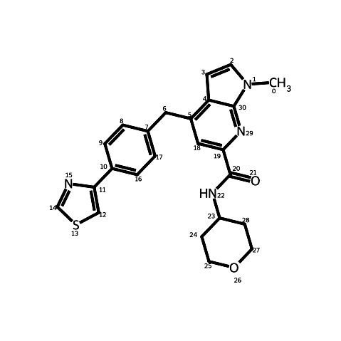 Cn1ccc2c(Cc3ccc(-c4cscn4)cc3)cc(C(=O)NC3CCOCC3)nc21